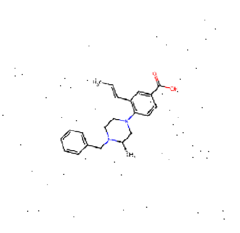 CC=Cc1cc(C(=O)O)ccc1N1CCN(Cc2ccccc2)C(C)C1